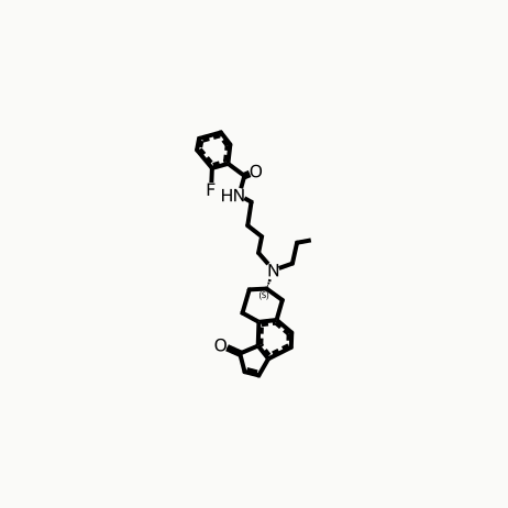 CCCN(CCCCNC(=O)c1ccccc1F)[C@H]1CCc2c(ccc3c2C(=O)C=C3)C1